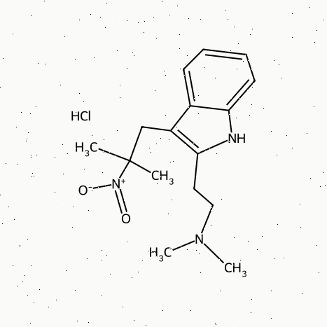 CN(C)CCc1[nH]c2ccccc2c1CC(C)(C)[N+](=O)[O-].Cl